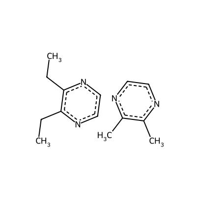 CCc1nccnc1CC.Cc1nccnc1C